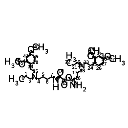 CCCN(CCCCNC(=O)C(=O)OC(N)CCCN(CCC)CCc1ccc(OC)cc1OC)CCc1ccc(OC)cc1OC